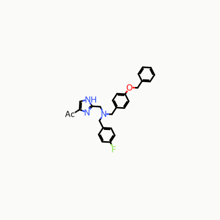 CC(=O)c1c[nH]c(CN(Cc2ccc(F)cc2)Cc2ccc(OCc3ccccc3)cc2)n1